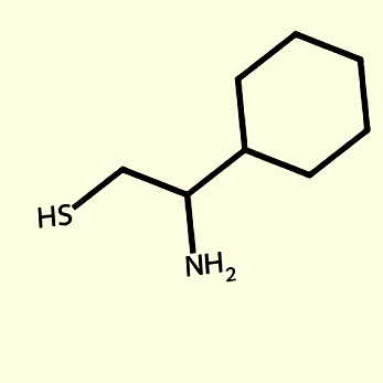 NC(CS)C1CCCCC1